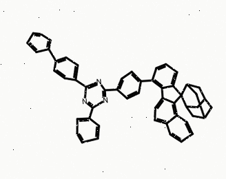 c1ccc(-c2ccc(-c3nc(-c4ccccc4)nc(-c4ccc(-c5cccc6c5-c5ccc7ccccc7c5C65C6CC7CC(C6)CC5C7)cc4)n3)cc2)cc1